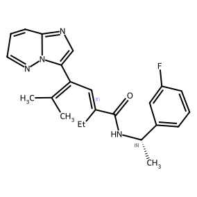 CC/C(=C\C(=C(C)C)c1cnc2cccnn12)C(=O)N[C@@H](C)c1cccc(F)c1